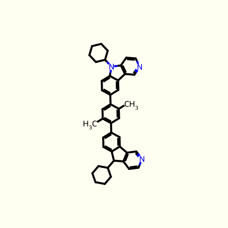 Cc1cc(-c2ccc3c(c2)c2cnccc2n3C2CCCCC2)c(C)cc1-c1ccc2c(c1)-c1cnccc1C2C1CCCCC1